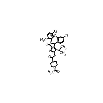 CC(=O)N1CCN(C(=O)Cn2nc3c(c2C(C)C)C(c2ccc(Cl)cc2C)N(c2cc(Cl)ccc2C)C3=O)CC1